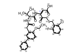 CCOc1ccc(-c2ccccc2)cc1CC(=O)N[C@H](C(=O)N/C(=C/C(=O)O)C(=O)CSCc1c(F)cccc1Cl)C(C)C